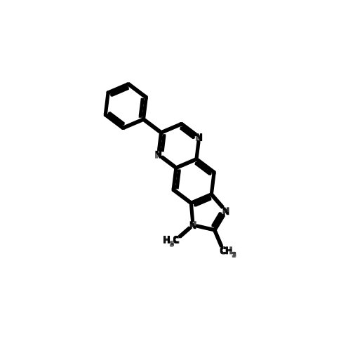 Cc1nc2cc3ncc(-c4ccccc4)nc3cc2n1C